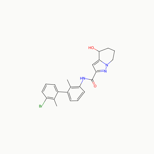 Cc1c(Br)cccc1-c1cccc(NC(=O)c2cc3n(n2)CCCC3O)c1C